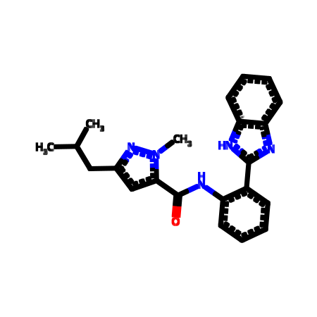 CC(C)Cc1cc(C(=O)Nc2ccccc2-c2nc3ccccc3[nH]2)n(C)n1